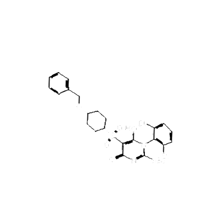 CCCCc1nc(=O)c(S(=O)(=O)[C@H]2CC[C@@H](OCc3ccccc3)CC2)c(O)n1-c1c(CC)cccc1CC